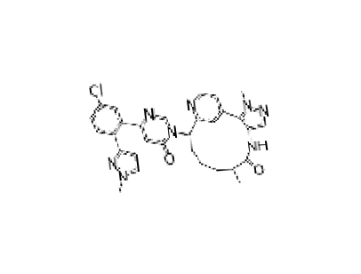 CC1CCCC(n2cnc(-c3cc(Cl)ccc3-c3ccn(C)n3)cc2=O)c2cc(ccn2)-c2c(cnn2C)NC1=O